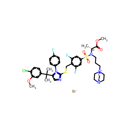 COC(=O)[C@@H](C)N(CCC[N+]12CCN(CC1)CC2)S(=O)(=O)c1cc(F)c(CSc2ncc(C(C)(C)c3ccc(Cl)c(OC)c3)n2-c2ccc(F)cc2)c(F)c1.[Br-]